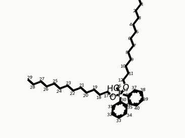 CCCCCCCCCCCCCOP(O)(OCCCCCCCCCCCCC)(c1ccccc1)c1ccccc1